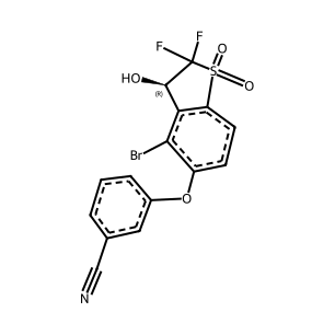 N#Cc1cccc(Oc2ccc3c(c2Br)[C@@H](O)C(F)(F)S3(=O)=O)c1